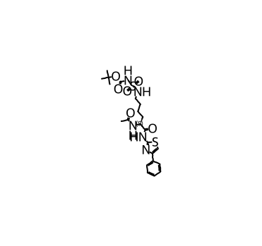 CC(=O)N[C@@H](CCCCNS(=O)(=O)NC(=O)OC(C)(C)C)C(=O)Nc1nc(-c2ccccc2)cs1